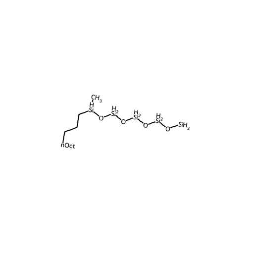 CCCCCCCCCCC[SiH](C)O[SiH2]O[SiH2]O[SiH2]O[SiH3]